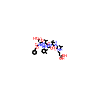 Cc1ccccc1C[C@H](NC(=O)[C@H](NC(=O)[C@@H](CC(=O)O)NC(=O)OCc1ccccc1)C(C)C)C(=O)N[C@H](C(=O)N[C@@H](CC(C)C)C(=O)NCCCB(O)O)C(C)(C)C